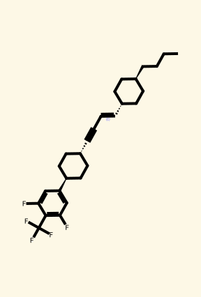 CCCC[C@H]1CC[C@H](/C=C/C#C[C@H]2CC[C@H](c3cc(F)c(C(F)(F)F)c(F)c3)CC2)CC1